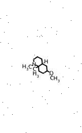 COC1CCC2(C)[C@@H](CCCN2C)C1